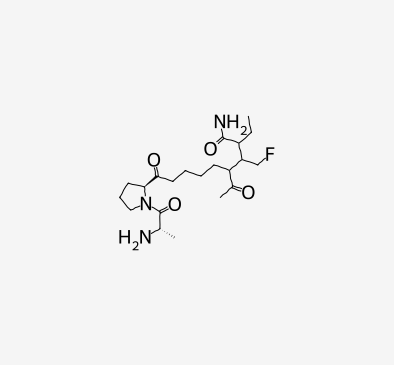 CCC(C(N)=O)C(CF)C(CCCCC(=O)[C@@H]1CCCN1C(=O)[C@H](C)N)C(C)=O